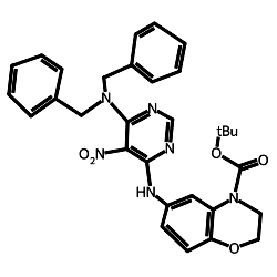 CC(C)(C)OC(=O)N1CCOc2ccc(Nc3ncnc(N(Cc4ccccc4)Cc4ccccc4)c3[N+](=O)[O-])cc21